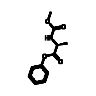 COC(=O)N[C@@H](C)C(=O)Oc1ccccc1